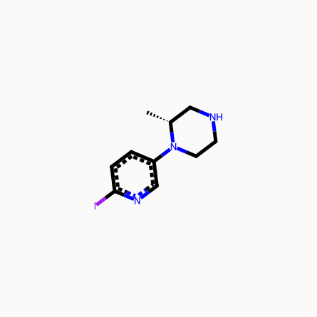 C[C@@H]1CNCCN1c1ccc(I)nc1